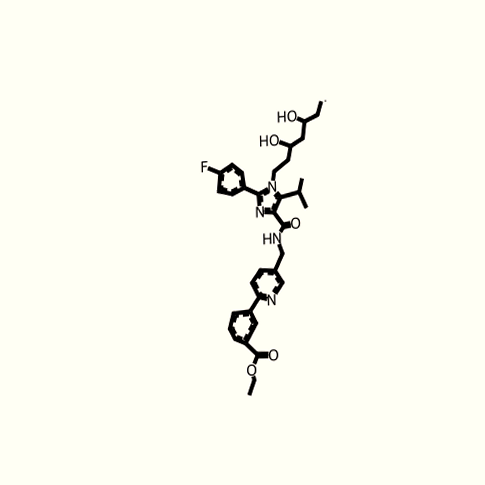 [CH2]CC(O)CC(O)CCn1c(-c2ccc(F)cc2)nc(C(=O)NCc2ccc(-c3cccc(C(=O)OCC)c3)nc2)c1C(C)C